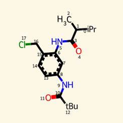 CC(C)C(C)C(=O)Nc1cc(NC(=O)C(C)(C)C)ccc1CCl